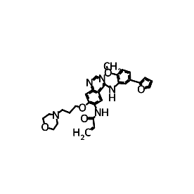 C=CC(=O)Nc1cc2c(Nc3cc(-c4ccco4)ccc3OC)ncnc2cc1OCCCN1CCOCC1